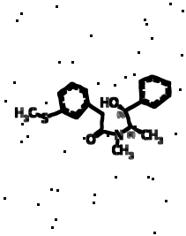 CSc1cccc(CC(=O)N(C)[C@H](C)[C@@H](O)c2ccccc2)c1